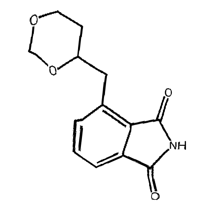 O=C1NC(=O)c2c(CC3CCOCO3)cccc21